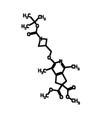 COC(=O)C1(C(=O)OC)Cc2c(C)nc(OCC3CN(C(=O)OC(C)(C)C)C3)c(C)c2C1